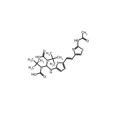 CC(=O)Nc1nc(/C=C/c2ccc(NC(N(C(=O)O)C(C)(C)C)N(C(=O)O)C(C)(C)C)s2)cs1